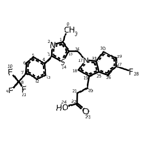 Cc1nc(-c2ccc(C(F)(F)F)cc2)sc1Cn1cc(CCC(=O)O)c2cc(F)ccc21